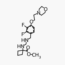 COC(=O)C1(NCNCc2ccc(OCCN3CCOCC3)c(F)c2F)CCC1